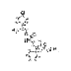 COC(=O)CC(O)(CCNC(=O)OC[C@@H](C)c1ccc(Cl)cc1)c1ccccc1